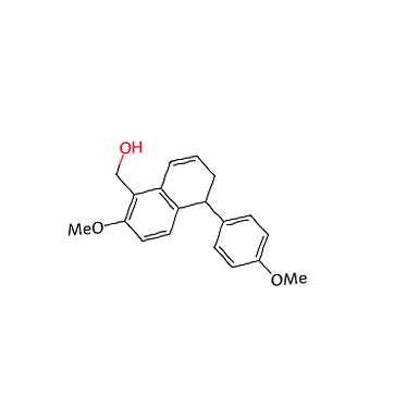 COc1ccc(C2CC=Cc3c2ccc(OC)c3CO)cc1